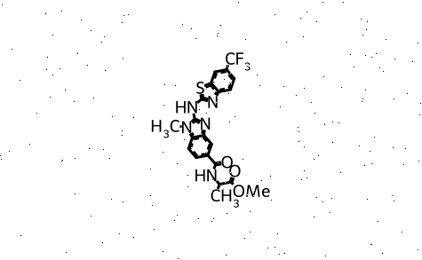 COC(=O)C(C)NC(=O)c1ccc2c(c1)nc(Nc1nc3ccc(C(F)(F)F)cc3s1)n2C